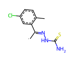 [CH2]C(=NNC(N)=S)c1cc(Cl)ccc1C